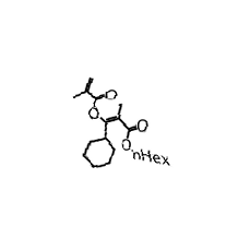 C=C(C)C(=O)OC(=C(C)C(=O)OCCCCCC)C1CCCCC1